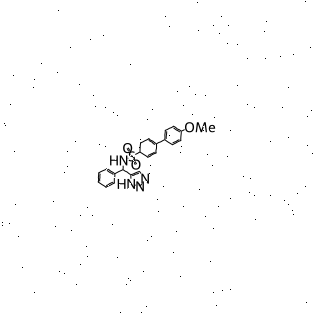 COc1ccc(C2=CCC(S(=O)(=O)NC(c3ccccc3)c3cnn[nH]3)C=C2)cc1